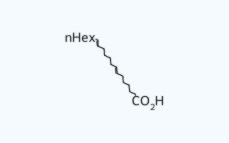 CCCCCCC=CCCCCC=CCCCCCC(=O)O